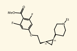 CCN1CCC([C@H]2C[C@H]2CCOc2cc(F)c(C(=O)OC)c(F)c2)CC1